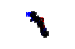 Cn1c2c(c3ccc(-n4ccc(OCC5CN6C=CC=CC6=N5)cc4=O)cc31)CCNC2